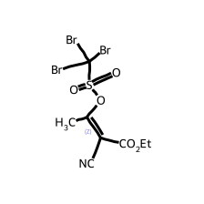 CCOC(=O)/C(C#N)=C(/C)OS(=O)(=O)C(Br)(Br)Br